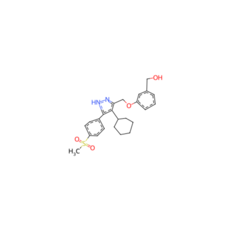 CS(=O)(=O)c1ccc(-c2[nH]nc(COc3cccc(CO)c3)c2C2CCCCC2)cc1